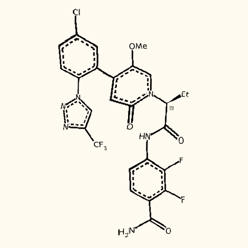 CC[C@@H](C(=O)Nc1ccc(C(N)=O)c(F)c1F)n1cc(OC)c(-c2cc(Cl)ccc2-n2cc(C(F)(F)F)nn2)cc1=O